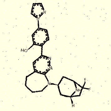 Oc1cc(-n2cccn2)ccc1-c1cc2c(nn1)N([C@H]1CC3N[C@@H](C1)CC3(F)F)CCCC2